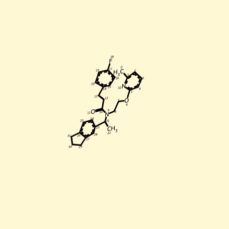 Cc1cccc(OCCN(C(=O)CCc2ccc(F)cc2)C(C)c2ccc3c(c2)CCC3)n1